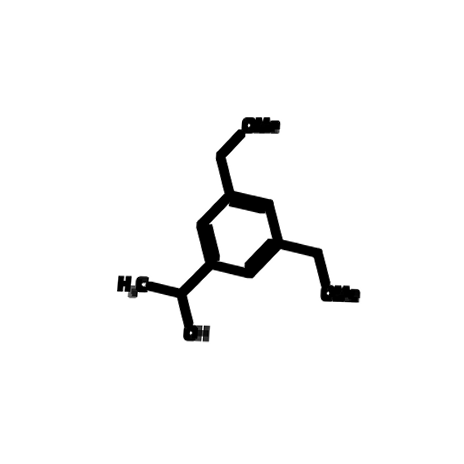 COCc1cc(COC)cc(C(C)O)c1